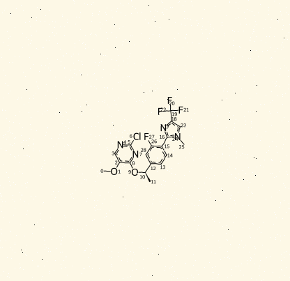 COc1cnc(Cl)nc1O[C@H](C)c1ccc(-c2nc(C(F)(F)F)cn2C)c(F)c1